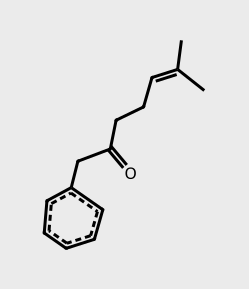 CC(C)=CCCC(=O)Cc1ccccc1